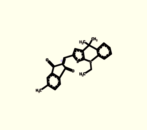 CCN1c2ccccc2C(C)(C)c2cc(/C=C3\C(=O)c4ccc(C)cc4C3=O)sc21